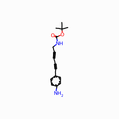 CC(C)(C)OC(=O)NCC#CC#Cc1ccc(N)cc1